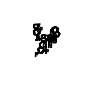 CN(C(=O)[C@H](Cc1cc(F)cc(F)c1)NC(=O)NS(=O)(=O)N1CCc2cccnc21)c1ccc(C(F)(F)F)nc1